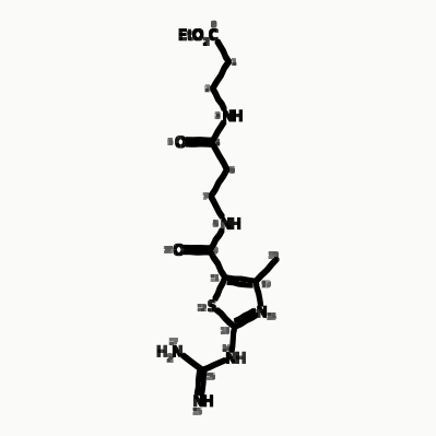 CCOC(=O)CCNC(=O)CCNC(=O)c1sc(NC(=N)N)nc1C